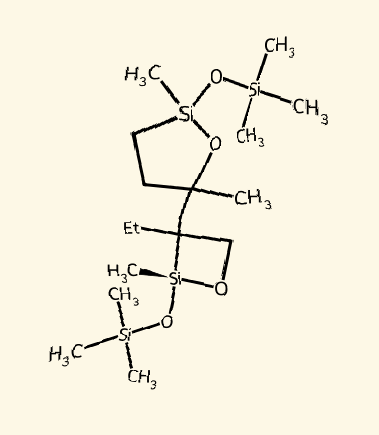 CCC1(C2(C)CC[Si](C)(O[Si](C)(C)C)O2)CO[Si@]1(C)O[Si](C)(C)C